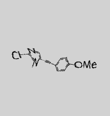 COc1ccc(C#Cc2cnc(Cl)cn2)cc1